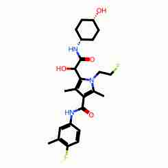 Cc1cc(NC(=O)c2c(C)c(C(O)C(=O)N[C@H]3CC[C@@H](O)CC3)n(CCF)c2C)ccc1F